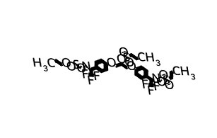 CCCOOSO/N=C(/c1ccc(OCC(COc2ccc(/C(=N/OS(=O)(=O)CCC)C(F)(F)F)cc2)OS(=O)(=O)CCC)cc1)C(F)(F)F